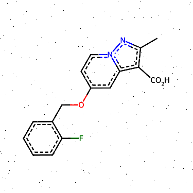 Cc1nn2ccc(OCc3ccccc3F)cc2c1C(=O)O